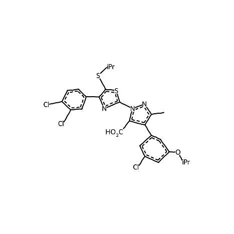 Cc1nn(-c2nc(-c3ccc(Cl)c(Cl)c3)c(SC(C)C)s2)c(C(=O)O)c1-c1cc(Cl)cc(OC(C)C)c1